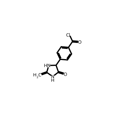 C=C1NC(=O)C(c2ccc(C(=O)Cl)cc2)N1